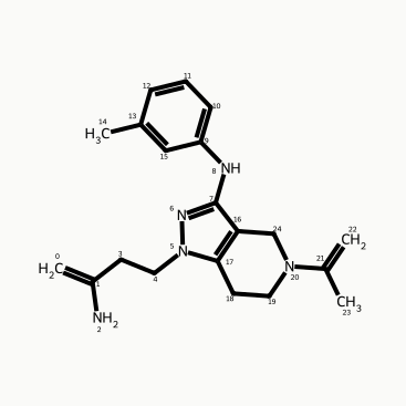 C=C(N)CCn1nc(Nc2cccc(C)c2)c2c1CCN(C(=C)C)C2